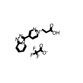 O=C(O)CC[n+]1ccc(-c2nnc3ccccn23)cn1.O=C([O-])C(F)(F)F